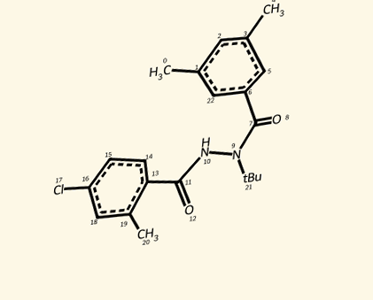 Cc1cc(C)cc(C(=O)N(NC(=O)c2ccc(Cl)cc2C)C(C)(C)C)c1